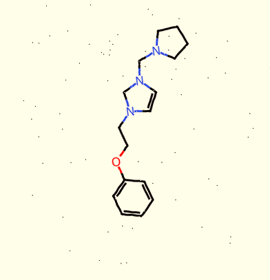 C1=CN(CN2CCCC2)CN1CCOc1ccccc1